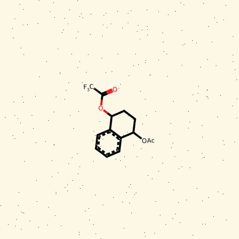 CC(=O)OC1CCC(OC(=O)C(F)(F)F)c2ccccc21